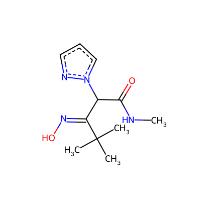 CNC(=O)C(C(=NO)C(C)(C)C)n1cccn1